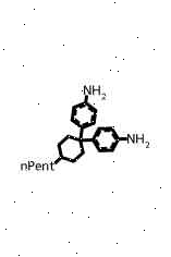 CCCCCC1CCC(c2ccc(N)cc2)(c2ccc(N)cc2)CC1